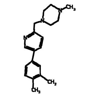 Cc1ccc(-c2ccc(CN3CCN(C)CC3)nc2)cc1C